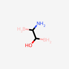 BC(N)C(B)O